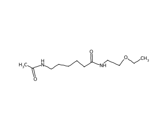 CCOCCNC(=O)CCCCCNC(C)=O